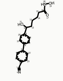 N#Cc1ccc(-c2ccc(C(O)CCCCC(=O)NO)cc2)cc1